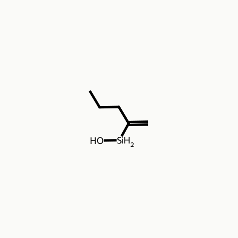 C=C(CCC)[SiH2]O